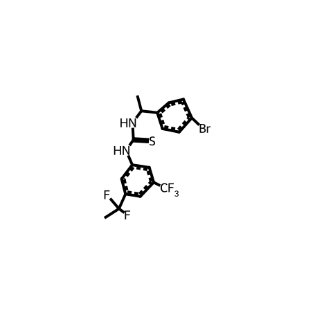 CC(NC(=S)Nc1cc(C(C)(F)F)cc(C(F)(F)F)c1)c1ccc(Br)cc1